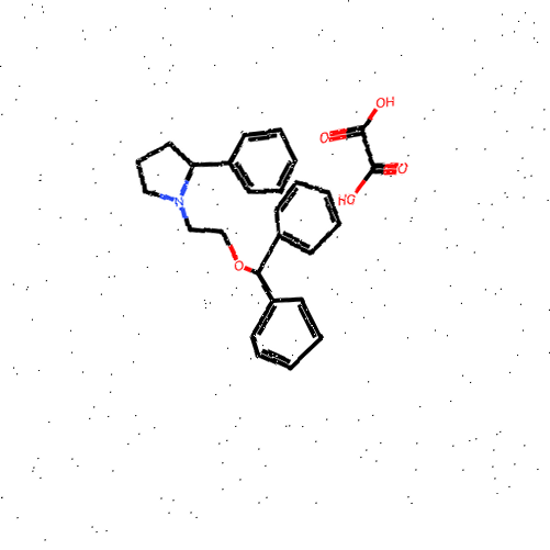 O=C(O)C(=O)O.c1ccc(C(OCCN2CCCC2c2ccccc2)c2ccccc2)cc1